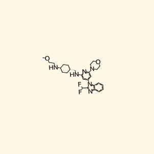 COCCN[C@H]1CC[C@H](CNc2cc(-n3c(C(F)F)nc4ccccc43)cc(N3CCOCC3)n2)CC1